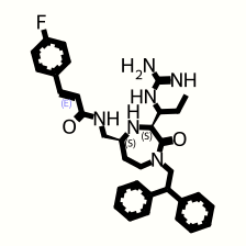 CCC(NC(=N)N)[C@@H]1N[C@H](CNC(=O)/C=C/c2ccc(F)cc2)CCN(CC(c2ccccc2)c2ccccc2)C1=O